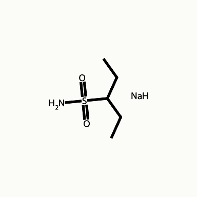 CCC(CC)S(N)(=O)=O.[NaH]